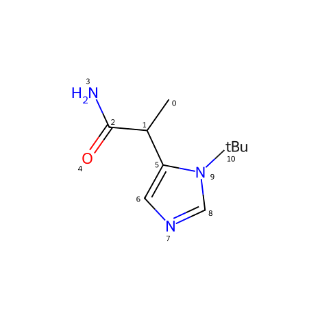 CC(C(N)=O)c1cncn1C(C)(C)C